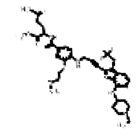 CCN1CCC(Nc2cccc3c(CC(F)(F)F)c(C#CCNc4ccc(C(=O)NC(CCC(N)=O)C(=O)OC)cc4OCCOC)sc23)CC1